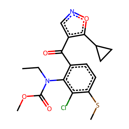 CCN(C(=O)OC)c1c(C(=O)c2cnoc2C2CC2)ccc(SC)c1Cl